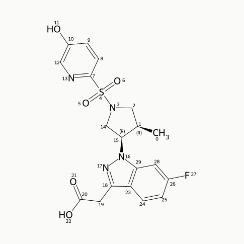 C[C@@H]1CN(S(=O)(=O)c2ccc(O)cn2)C[C@@H]1n1nc(CC(=O)O)c2ccc(F)cc21